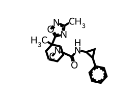 Cc1noc(C2(C)CC3CCC2N(C(=O)NC2CC2c2ccccc2)C3)n1